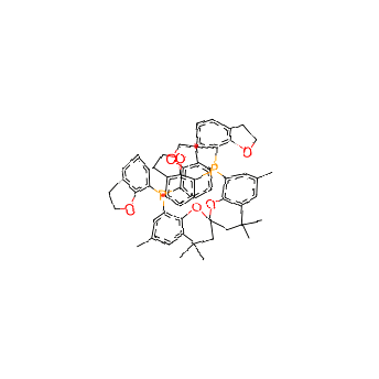 Cc1cc(P(c2cccc3c2OCC3)c2cccc3c2OCC3)c2c(c1)C(C)(C)CC1(CC(C)(C)c3cc(C)cc(P(c4cccc5c4OCC5)c4cccc5c4OCC5)c3O1)O2